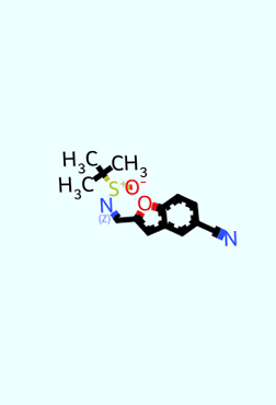 CC(C)(C)[S+]([O-])/N=C\c1cc2cc(C#N)ccc2o1